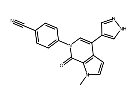 Cn1ccc2c(-c3cn[nH]c3)cn(-c3ccc(C#N)cc3)c(=O)c21